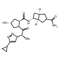 CC(C)(C)[C@H](C(=O)N1C[C@H](O)C[C@H]1C(=O)N[C@@H]1C[C@H]2CC(C(N)=O)C[C@H]21)n1cc(C2CC2)nn1